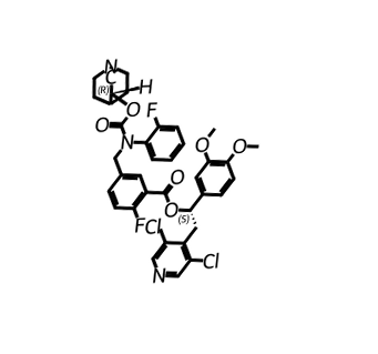 COc1ccc([C@H](Cc2c(Cl)cncc2Cl)OC(=O)c2cc(CN(C(=O)O[C@H]3CN4CCC3CC4)c3ccccc3F)ccc2F)cc1OC